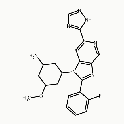 COC1CC(N)CC(n2c(-c3ccccc3F)nc3cnc(-c4ncn[nH]4)cc32)C1